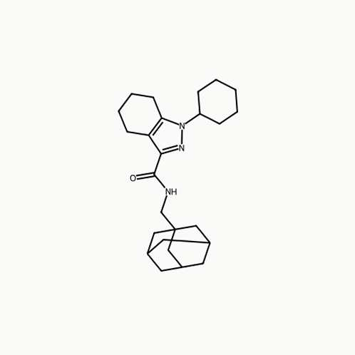 O=C(NCC12CC3CC(CC(C3)C1)C2)c1nn(C2CCCCC2)c2c1CCCC2